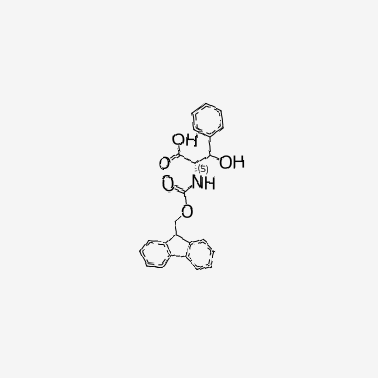 O=C(N[C@H](C(=O)O)C(O)c1ccccc1)OCC1c2ccccc2-c2ccccc21